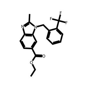 CCOC(=O)c1ccc2nc(C)n(Cc3ccccc3C(F)(F)F)c2c1